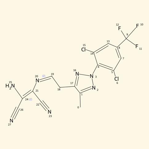 Cc1nn(-c2c(Cl)cc(C(F)(F)F)cc2Cl)nc1C/C=N\C(C#N)=C(/N)C#N